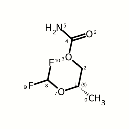 C[C@@H](COC(N)=O)OC(F)F